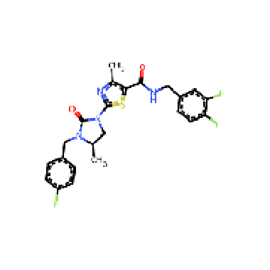 Cc1nc(N2CC(C)N(Cc3ccc(F)cc3)C2=O)sc1C(=O)NCc1ccc(F)c(F)c1